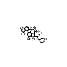 Nc1ccc2c3c(c(C(=O)NC4CCCNC4)sc13)C(N)C(=O)C2(N)c1ccc(Cl)c(C(F)(F)F)c1